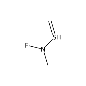 C=[SH]N(C)F